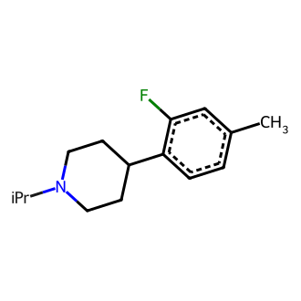 Cc1ccc(C2CCN(C(C)C)CC2)c(F)c1